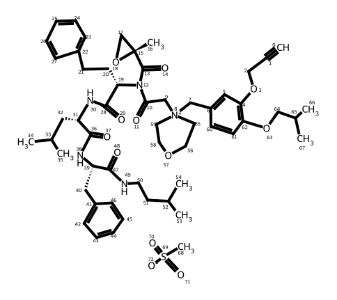 C#CCOc1cc(C[N+]2(CC(=O)N(C(=O)[C@@]3(C)CO3)[C@@H](CCc3ccccc3)C(=O)N[C@@H](CC(C)C)C(=O)N[C@@H](Cc3ccccc3)C(=O)NCCC(C)C)CCOCC2)ccc1OCC(C)C.CS(=O)(=O)[O-]